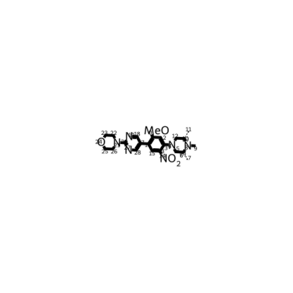 COc1cc(N2C[C@@H](C)N(C)[C@@H](C)C2)c([N+](=O)[O-])cc1-c1cnc(N2CCOCC2)nc1